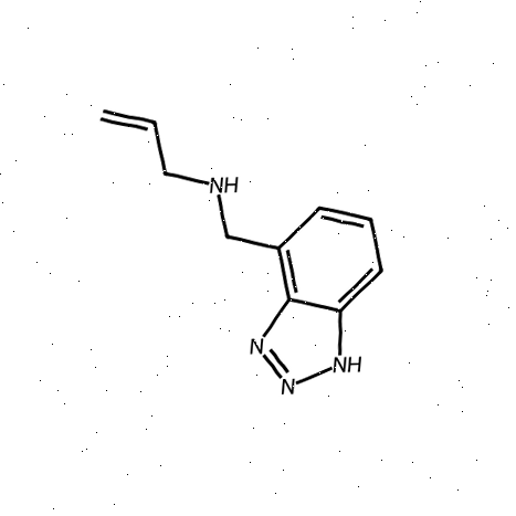 C=CCNCc1cccc2[nH]nnc12